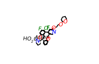 CNC(=O)c1cnc(OCCOC2CCCCO2)c(F)c1-c1c(Cl)c(F)cc2c1C[C@](c1ccccc1)([C@@H]1CCCN1C(=O)O)O2